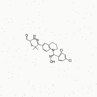 CC1(C)SC(C=O)NN=C1c1ccc2c(c1)CCCN2C(=NO)c1ccc(Cl)cc1Cl